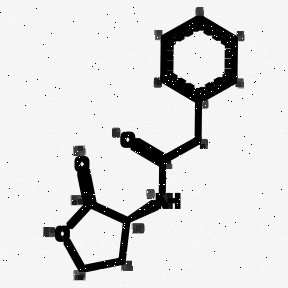 O=C(Cc1ccccc1)N[C@H]1CCOC1=O